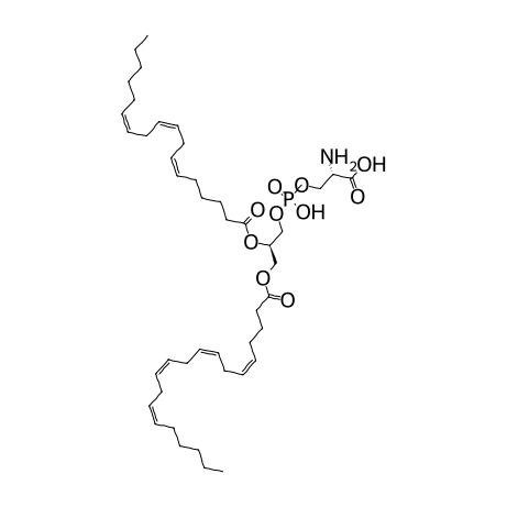 CCCCC/C=C\C/C=C\C/C=C\C/C=C\CCCC(=O)OC[C@H](COP(=O)(O)OC[C@H](N)C(=O)O)OC(=O)CCCC/C=C\C/C=C\C/C=C\CCCCC